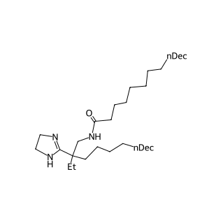 CCCCCCCCCCCCCCCCCC(=O)NCC(CC)(CCCCCCCCCCCCCC)C1=NCCN1